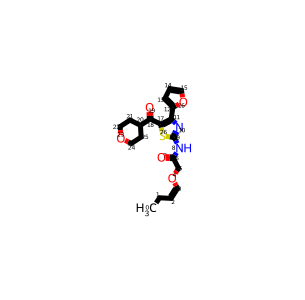 CC/C=C\OCC(=O)Nc1nc(-c2ccco2)c(C(=O)C2CCOCC2)s1